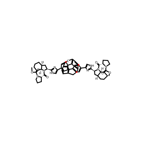 COC(=O)N1CCC[C@H]1C(=O)N1[C@H](c2nc(-c3ccc(-c4cc5ccc4CCc4ccc(c(-c6ccc(-c7c[nH]c([C@@H]8C[C@@H]9CCCC[C@@H]9N8C(=O)[C@@H]8CCCN8C(=O)OC)n7)cc6)c4)CC5)cc3)c[nH]2)C[C@@H]2CCCC[C@@H]21